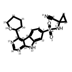 N#CC1(NS(=O)(=O)c2ccc3c(c2)[nH]c2ncnc(C4CCCCO4)c23)CC1